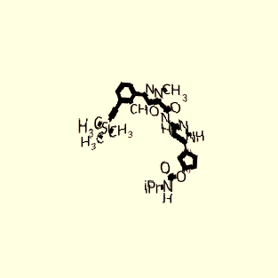 CC(C)NC(=O)O[C@@H]1CC[C@H](c2cc(NC(=O)c3cc(-c4cccc(C#C[Si](C)(C)C)c4C=O)nn3C)n[nH]2)C1